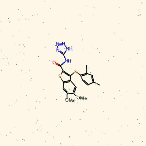 COc1cc2sc(C(=O)Nc3nnn[nH]3)c(Sc3ccc(C)cc3C)c2cc1OC